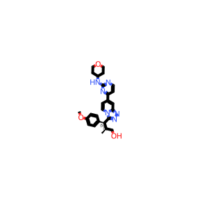 COc1ccc([C@@H](c2nnc3cc(-c4ccnc(NC5CCOCC5)n4)ccn23)[C@H](C)CO)cc1